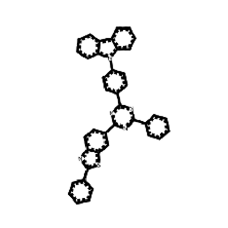 c1ccc(-c2nc(-c3ccc(-n4c5ccccc5c5ccccc54)cc3)nc(-c3ccc4nc(-c5ccccc5)sc4c3)n2)cc1